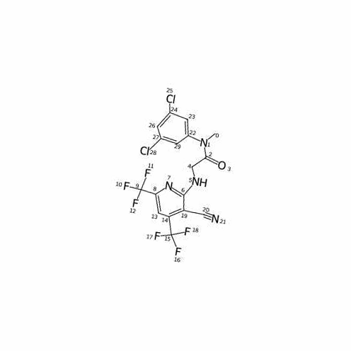 CN(C(=O)CNc1nc(C(F)(F)F)cc(C(F)(F)F)c1C#N)c1cc(Cl)cc(Cl)c1